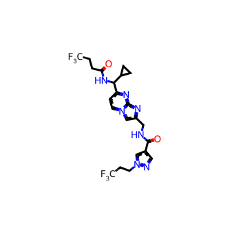 O=C(CCC(F)(F)F)NC(c1ccn2cc(CNC(=O)c3cnn(CCC(F)(F)F)c3)nc2n1)C1CC1